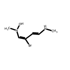 CN/C=C/C(Br)=C\N(C)O